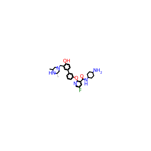 CC1CN(Cc2cc(-c3cccc(Oc4ncc(F)cc4C(=O)NC4CCC(N)CC4)c3)ccc2O)C[C@H](C)N1